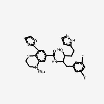 CCCCN1CCSc2c(-c3ncco3)cc(C(=O)NC(Cc3cc(F)cc(F)c3)C(O)CCc3ccn[nH]3)cc21